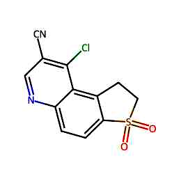 N#Cc1cnc2ccc3c(c2c1Cl)CCS3(=O)=O